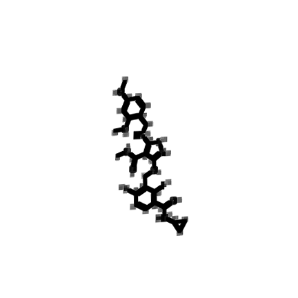 COC(=O)c1c(OCc2c(F)ccc(C(=O)NC3CC3)c2F)nsc1NCc1ccc(OC)cc1OC